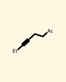 CCC#CCCC(C)=O